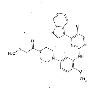 CNCC(=O)N1CCN(c2ccc(OC)c(Nc3ncc(Cl)c(-c4cnn5ccccc45)n3)c2)CC1